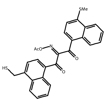 CSc1ccc(C(=O)C(=NOC(C)=O)C(=O)c2ccc(CS)c3ccccc23)c2ccccc12